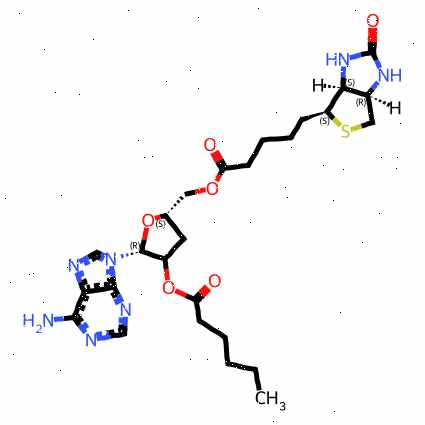 CCCCCC(=O)OC1C[C@@H](COC(=O)CCCC[C@@H]2SC[C@@H]3NC(=O)N[C@@H]32)O[C@H]1n1cnc2c(N)ncnc21